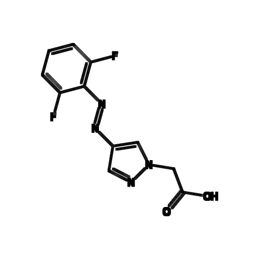 O=C(O)Cn1cc(N=Nc2c(F)cccc2F)cn1